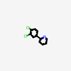 Clc1ccc(-c2ccccn2)cc1Cl